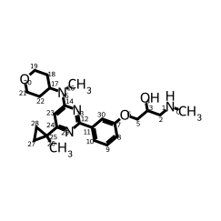 CNCC(O)COc1cccc(-c2nc(N(C)C3CCOCC3)cc(C3(C)CC3)n2)c1